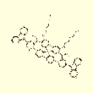 CCCCCCOc1cc2c(cc1C(=O)OC)C1(c3cc(-c4ccc(-n5c6ccncc6c6cnccc65)cc4C)ccc3-c3ccc(-c4ccc(-n5c6ccncc6c6cnccc65)cc4C)cc31)c1cc(C(=O)OC)c(OCCCCCC)cc1-2